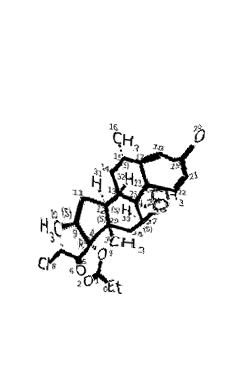 CCC(=O)O[C@]1(C(=O)CCl)[C@@H](C)C[C@H]2[C@@H]3C[C@H](C)C4=CC(=O)C=C[C@]4(C)[C@]34O[C@H]4C[C@@]21C